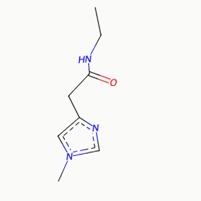 CCNC(=O)Cc1cn(C)cn1